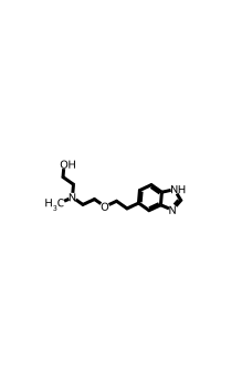 CN(CCO)CCOCCc1ccc2[nH]cnc2c1